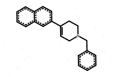 C1=C(c2ccc3ccccc3c2)CCN(Cc2ccccc2)C1